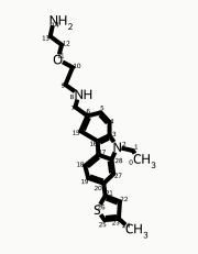 CCn1c2ccc(CNCCOCCN)cc2c2ccc(-c3cc(C)cs3)cc21